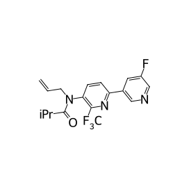 C=CCN(C(=O)C(C)C)c1ccc(-c2cncc(F)c2)nc1C(F)(F)F